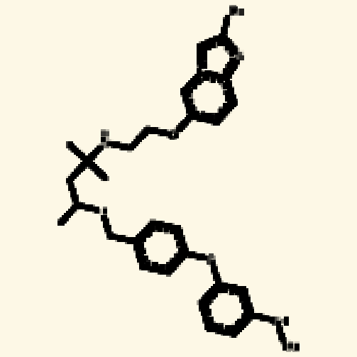 CC(CC(C)(C)NCCOc1ccc2nc(C(C)(C)C)cn2c1)OCc1ccc(Oc2cccc(NC(C)(C)C)c2)cc1